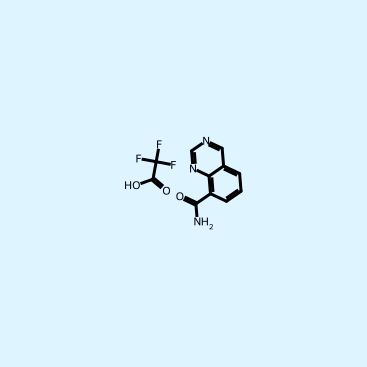 NC(=O)c1cccc2cncnc12.O=C(O)C(F)(F)F